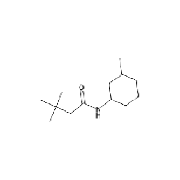 CC1CCCC(NC(=O)CC(C)(C)C)C1